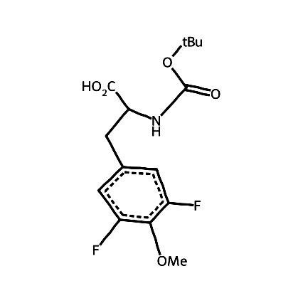 COc1c(F)cc(CC(NC(=O)OC(C)(C)C)C(=O)O)cc1F